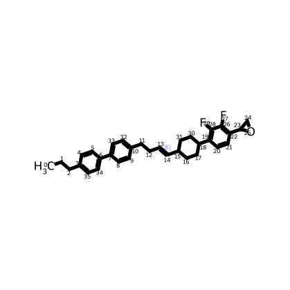 CCCc1ccc(-c2ccc(CC/C=C/C3CCC(c4ccc(C5CO5)c(F)c4F)CC3)cc2)cc1